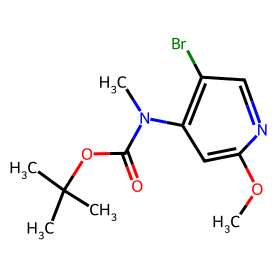 COc1cc(N(C)C(=O)OC(C)(C)C)c(Br)cn1